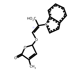 CC1=CC(O/C=C(/C(=O)O)n2ccc3ccccc32)OC1=O